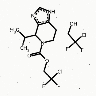 CC(C)C1c2nc[nH]c2CCN1C(=O)OCC(F)(F)Cl.OCC(F)(F)Cl